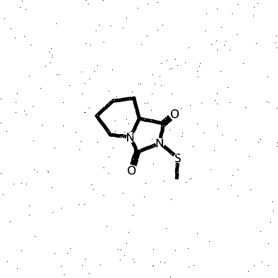 CSN1C(=O)C2CCCCN2C1=O